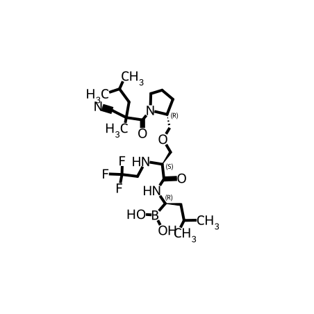 CC(C)C[C@H](NC(=O)[C@H](COC[C@H]1CCCN1C(=O)C(C)(C#N)CC(C)C)NCC(F)(F)F)B(O)O